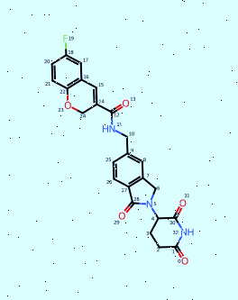 O=C1CCC(N2Cc3cc(CNC(=O)C4=Cc5cc(F)ccc5OC4)ccc3C2=O)C(=O)N1